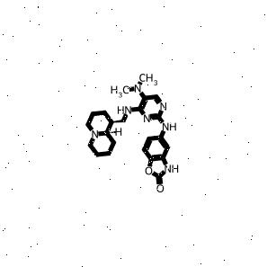 CN(C)c1cnc(Nc2ccc3oc(=O)[nH]c3c2)nc1NC[C@@H]1CCCN2CCCC[C@H]12